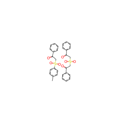 Cc1ccc(S(=O)(=O)CC(=O)c2ccccc2)cc1.O=C(CS(=O)(=O)CC(=O)c1ccccc1)c1ccccc1